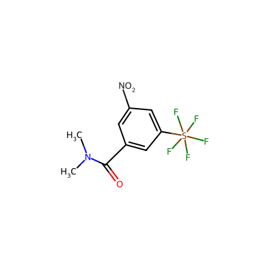 CN(C)C(=O)c1cc([N+](=O)[O-])cc(S(F)(F)(F)(F)F)c1